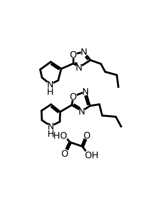 CCCCc1noc(C2=CCCNC2)n1.CCCCc1noc(C2=CCCNC2)n1.O=C(O)C(=O)O